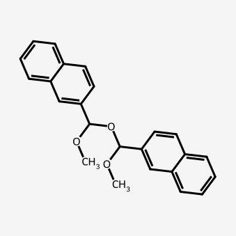 COC(OC(OC)c1ccc2ccccc2c1)c1ccc2ccccc2c1